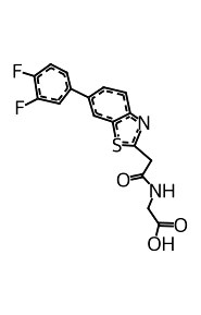 O=C(O)CNC(=O)Cc1nc2ccc(-c3ccc(F)c(F)c3)cc2s1